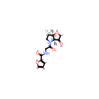 O=C(NCC(=O)N1C[C@H](F)[C@H]2OCC(=O)[C@H]21)c1ccco1